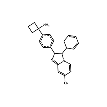 N#CC1=CC2=NC(c3ccc(C4(N)CCC4)cc3)C(C3C=CC=CC3)N2C=C1